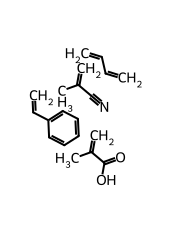 C=C(C)C#N.C=C(C)C(=O)O.C=CC=C.C=Cc1ccccc1